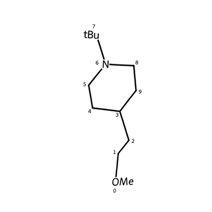 COCCC1CCN(C(C)(C)C)CC1